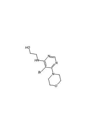 OCCNc1ncnc(N2CCOCC2)c1Br